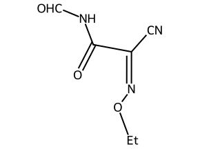 CCON=C(C#N)C(=O)NC=O